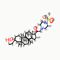 CC[C@@]1(O)CC[C@H]2[C@H](CC[C@@H]3[C@@H]2CC[C@]2(C)[C@@H](C(=O)CN4CCN(S(C)(=O)=O)CC4)CC[C@@H]32)C1